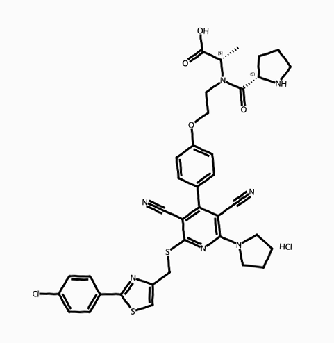 C[C@@H](C(=O)O)N(CCOc1ccc(-c2c(C#N)c(SCc3csc(-c4ccc(Cl)cc4)n3)nc(N3CCCC3)c2C#N)cc1)C(=O)[C@@H]1CCCN1.Cl